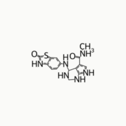 CNC(=O)c1c[nH]c2c1C(Nc1ccc3[nH]c(=O)sc3c1)NCN2